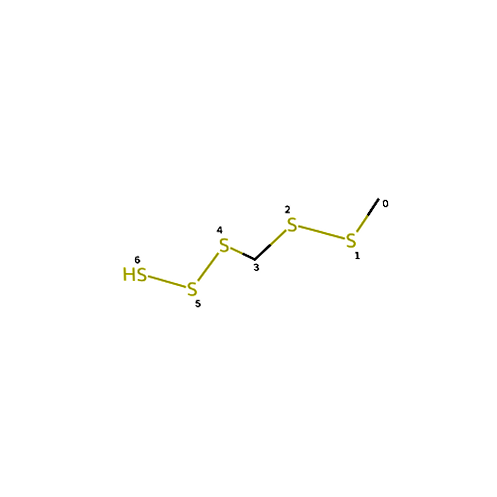 CSSCSSS